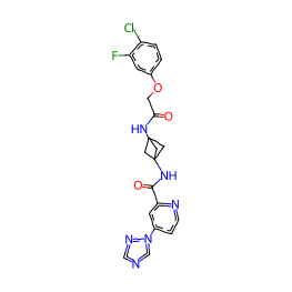 O=C(COc1ccc(Cl)c(F)c1)NC12CC(NC(=O)c3cc(-n4cncn4)ccn3)(C1)C2